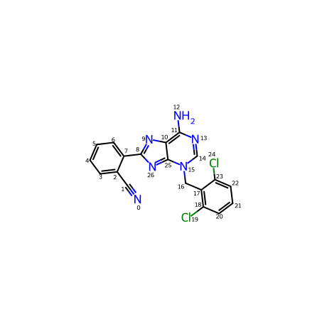 N#Cc1ccccc1-c1nc2c(N)ncn(Cc3c(Cl)cccc3Cl)c-2n1